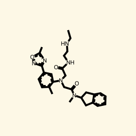 CCNCCNC(=O)CN(CC(=O)N(C)C1Cc2ccccc2C1)c1cc(-c2noc(C)n2)ccc1C